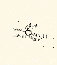 CCCCCc1cc(S(=O)(=O)O)c(CCCCC)c(CCCCC)c1CCCCC